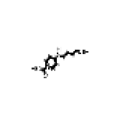 O=C(O)N1CCC(NCCCCO)CC1